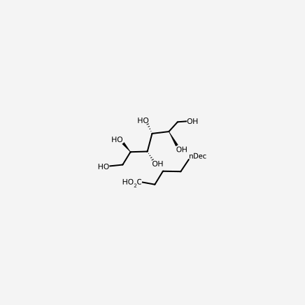 CCCCCCCCCCCCCC(=O)O.OC[C@@H](O)[C@@H](O)[C@H](O)[C@H](O)CO